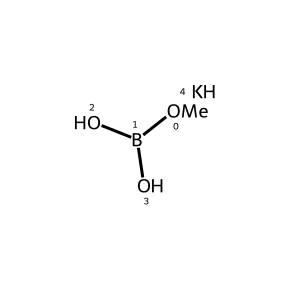 COB(O)O.[KH]